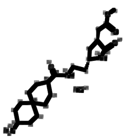 COC(=O)C[C@@H]1C[C@@H](CCNC(=O)C2CCC3(CCC(N)CC3)CC2)NC1=O.Cl